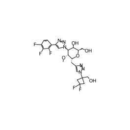 CO[C@@H]1[C@@H](n2cc(-c3ccc(F)c(F)c3F)nn2)[C@@H](O)[C@@H](CO)O[C@@H]1Cc1cn(C2(CO)CC(F)(F)C2)nn1